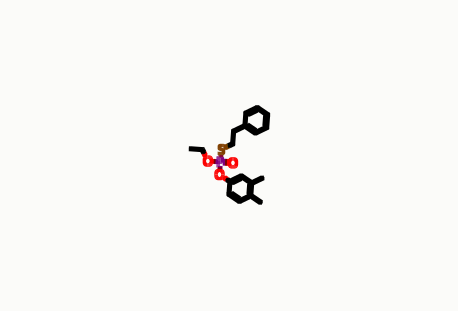 CCOP(=O)(Oc1ccc(C)c(C)c1)SCCc1ccccc1